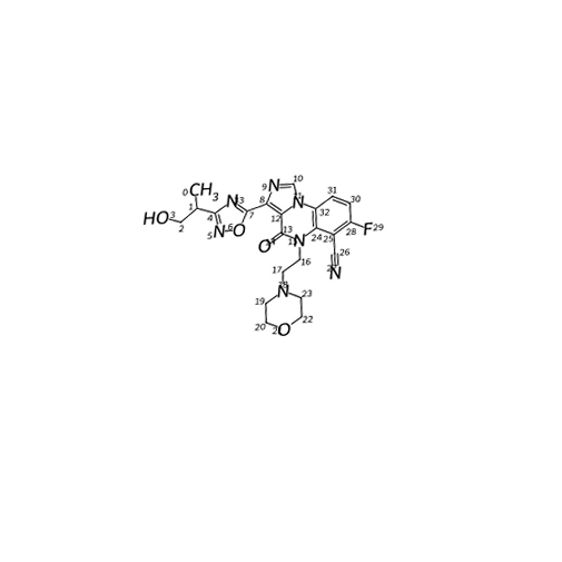 CC(CO)c1noc(-c2ncn3c2c(=O)n(CCN2CCOCC2)c2c(C#N)c(F)ccc23)n1